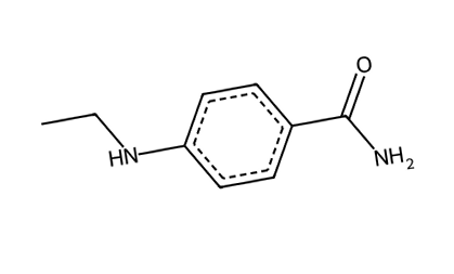 CCNc1ccc(C(N)=O)cc1